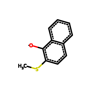 CSc1ccc2ccccc2c1[O]